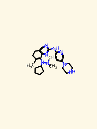 CC1=C(N(C2CCCC2)N(C)C)c2nc(Nc3ccc(N4CCNCC4)cn3)ncc2CC1